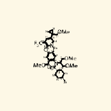 COCC(COC)N(c1cc(F)c(Oc2ncc(C3(COC)CC3)cc2C(F)(F)F)cc1C(=O)OC)C(=O)[C@H]1CC[C@H](C)CC1